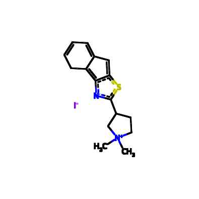 C[N+]1(C)CCC(c2nc3c(s2)=CC2=CC=CCC=32)C1.[I-]